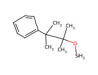 CC(C)(O[SiH3])C(C)(C)c1ccccc1